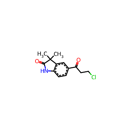 CC1(C)C(=O)Nc2ccc(C(=O)CCCl)cc21